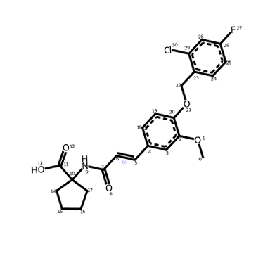 COc1cc(/C=C/C(=O)NC2(C(=O)O)CCCC2)ccc1OCc1ccc(F)cc1Cl